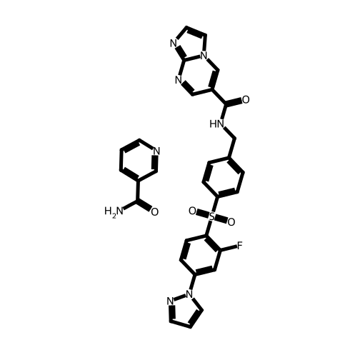 NC(=O)c1cccnc1.O=C(NCc1ccc(S(=O)(=O)c2ccc(-n3cccn3)cc2F)cc1)c1cnc2nccn2c1